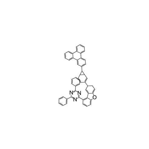 C1=CC2C(C=C1C1C=c3c(oc4cccc(-c5nc(-c6ccccc6)nc(-c6ccccc6)n5)c34)=CC1)C2c1ccc2c3ccccc3c3ccccc3c2c1